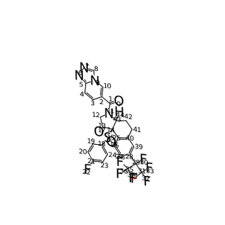 O=C(c1ccc2nncn2c1)N1CC[C@@]2(S(=O)(=O)c3ccc(F)cc3)c3ccc(C(F)(C(F)(F)F)C(F)(F)F)cc3CC[C@@H]12